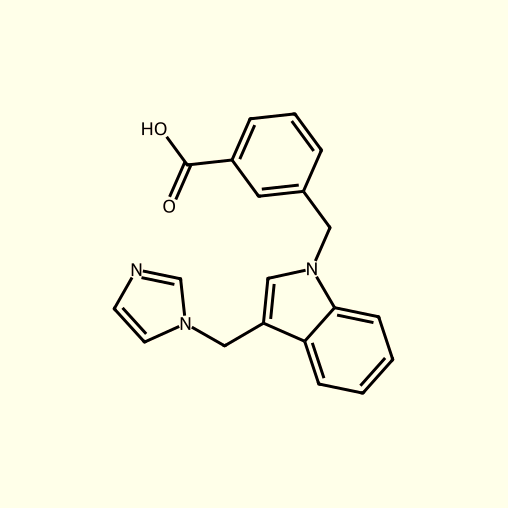 O=C(O)c1cccc(Cn2cc(Cn3ccnc3)c3ccccc32)c1